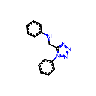 [c]1ccc(NCc2nnnn2-c2ccccc2)cc1